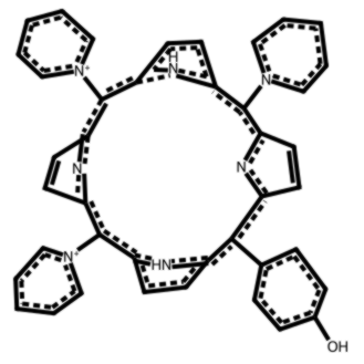 Oc1ccc(-c2c3nc(c(-[n+]4ccccc4)c4ccc([nH]4)c(-[n+]4ccccc4)c4nc(c(-[n+]5ccccc5)c5ccc2[nH]5)C=C4)C=C3)cc1